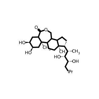 CC(C)C[C@@H](O)[C@H](O)[C@@H](C)[C@H]1CCC2C3COC(=O)C4C[C@H](O)[C@H](O)C[C@]4(C)C3CC[C@@]21C